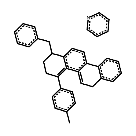 Cc1ccc(C2=c3c(ccc4c3=CCc3ccccc3-4)C(Cc3ccccc3)CC2)cc1.c1ccncc1